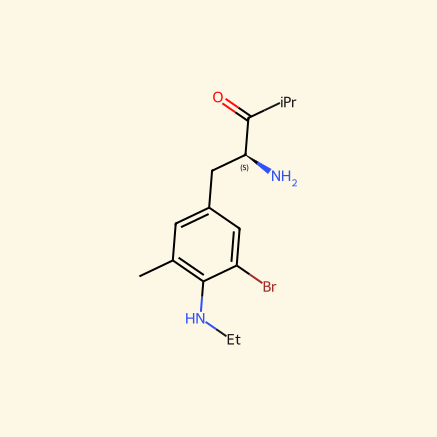 CCNc1c(C)cc(C[C@H](N)C(=O)C(C)C)cc1Br